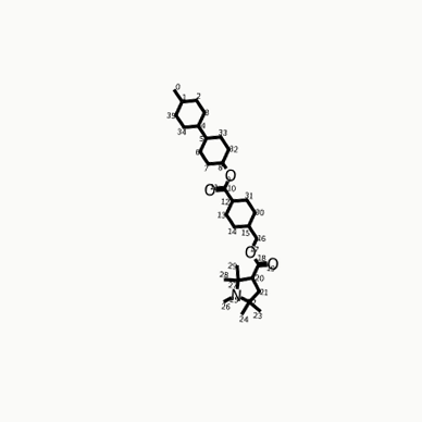 CC1CCC(C2CCC(OC(=O)C3CCC(COC(=O)C4CC(C)(C)N(C)C4(C)C)CC3)CC2)CC1